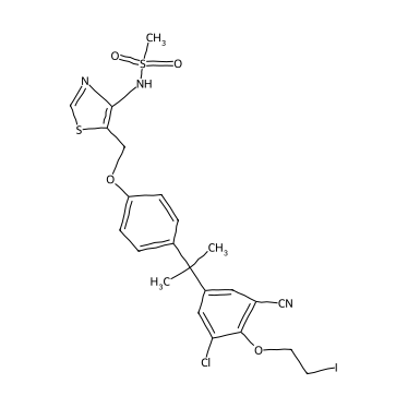 CC(C)(c1ccc(OCc2scnc2NS(C)(=O)=O)cc1)c1cc(Cl)c(OCCI)c(C#N)c1